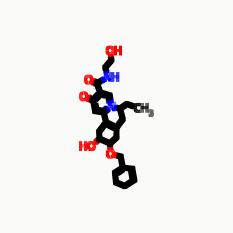 CCC1CC2=C(CC(O)C(OCC3=CCCC=C3)C2)c2cc(=O)c(C(=O)NCCO)cn21